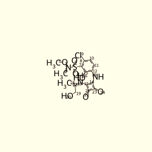 CON(C)S(=O)(=O)c1c(Cl)ccc(Nc2c(N[C@@H](C)CO)c(=O)c2=O)c1O